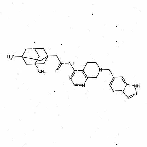 CC12CC3CC(C)(C1)CC(CC(=O)Nc1ncnc4c1CCN(Cc1ccc5cc[nH]c5c1)C4)(C3)C2